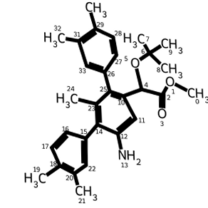 COC(=O)C(OC(C)(C)C)c1cc(N)c(-c2ccc(C)c(C)c2)c(C)c1-c1ccc(C)c(C)c1